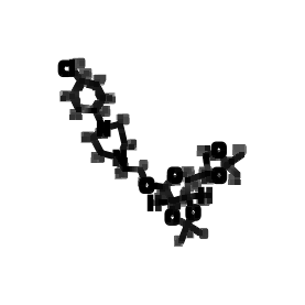 CC1(C)O[C@@H]2[C@H](O1)[C@@H](OCCN1CCN(c3ccc(Cl)cc3)CC1)O[C@@H]2[C@H]1COC(C)(C)O1